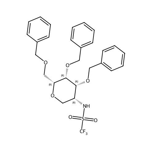 O=S(=O)(N[C@@H]1CO[C@H](COCc2ccccc2)[C@H](OCc2ccccc2)[C@@H]1OCc1ccccc1)C(F)(F)F